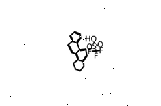 O=S(=O)(O)C(F)(F)F.c1ccc2c(c1)ccc1c3c(ccc12)CCCC3